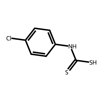 S=C(S)Nc1ccc(Cl)cc1